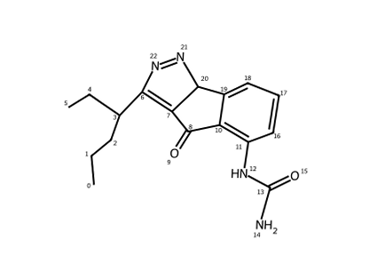 CCCC(CC)C1=C2C(=O)c3c(NC(N)=O)cccc3C2N=N1